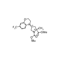 COC(=O)[C@@]1(C)C[C@H](N2CCOc3cc(C(F)(F)F)ccc32)CN1C(=O)OC(C)(C)C